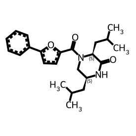 CC(C)C[C@H]1CN(C(=O)c2ccc(-c3ccccc3)o2)[C@@H](CC(C)C)C(=O)N1